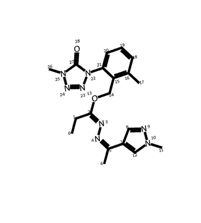 CCC(=NN=C(C)c1cnn(C)c1)OCc1c(C)cccc1-n1nnn(C)c1=O